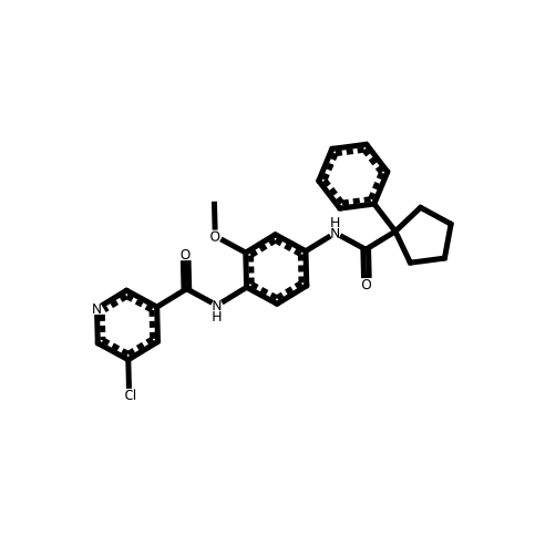 COc1cc(NC(=O)C2(c3ccccc3)CCCC2)ccc1NC(=O)c1cncc(Cl)c1